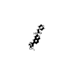 Cn1cc(-c2ccc3cnc(NC(=O)CN4CCOCC4)cc3c2)nn1